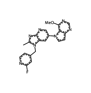 COc1ncnc2ccn(-c3cnc4nc(C)n(Cc5ccnc(F)c5)c4c3)c12